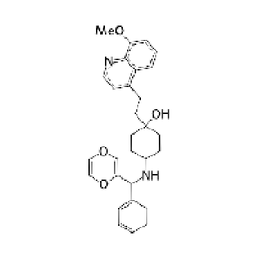 COc1cccc2c(CCC3(O)CCC(NC(C4=CC=CCC4)C4=COC=CO4)CC3)ccnc12